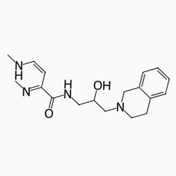 C/N=C(\C=C/NC)C(=O)NCC(O)CN1CCc2ccccc2C1